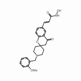 COc1ccccc1CN1CCC2(CC1)CC(=O)c1cc(C=CC(=O)NO)ccc1O2